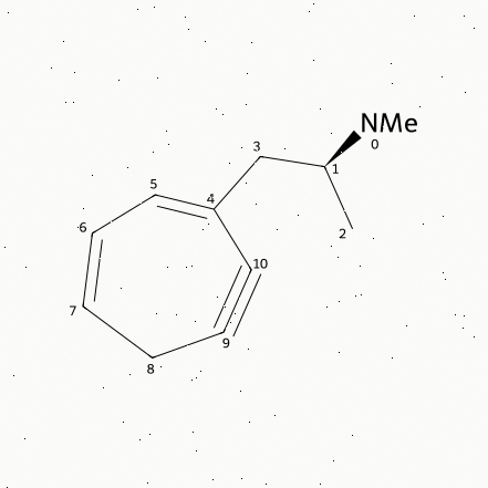 CN[C@@H](C)CC1=CC=CCC#C1